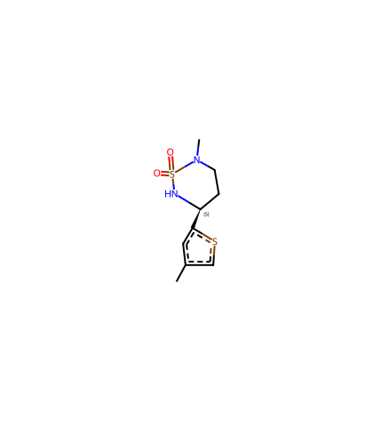 Cc1csc([C@@H]2CCN(C)S(=O)(=O)N2)c1